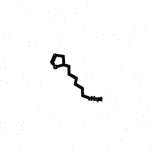 CCCCCCCCCCCCCC1CC=CO1